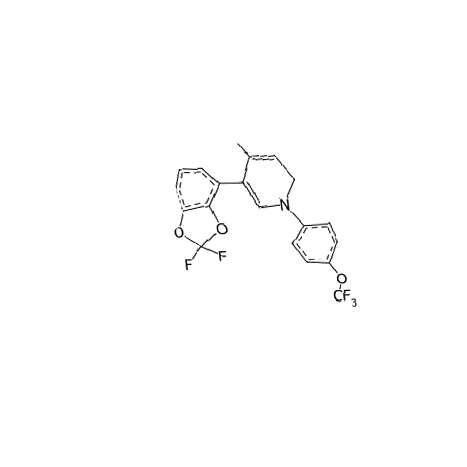 CC1=CCN(c2ccc(OC(F)(F)F)cc2)C=C1c1cccc2c1OC(F)(F)O2